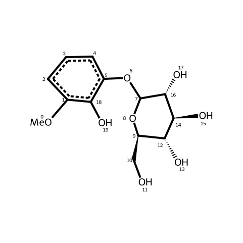 COc1cccc(OC2O[C@H](CO)[C@@H](O)[C@H](O)[C@H]2O)c1O